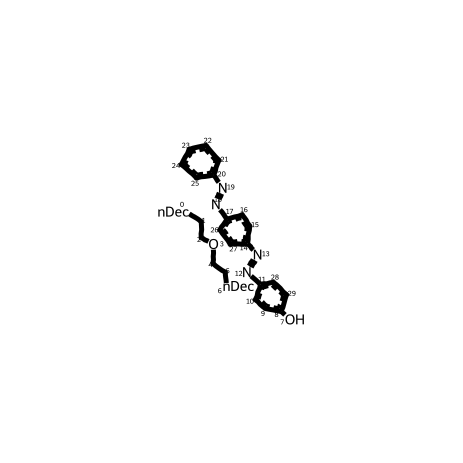 CCCCCCCCCCCCOCCCCCCCCCCCC.Oc1ccc(/N=N/c2ccc(/N=N/c3ccccc3)cc2)cc1